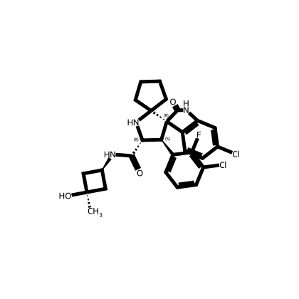 C[C@]1(O)C[C@@H](NC(=O)[C@@H]2NC3(CCCC3)[C@@]3(C(=O)Nc4cc(Cl)ccc43)[C@H]2c2cccc(Cl)c2F)C1